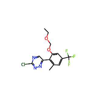 CCOCOc1cc(C(F)(F)F)cc(C)c1-c1cnc(Cl)nn1